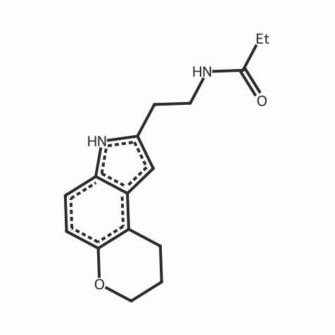 CCC(=O)NCCc1cc2c3c(ccc2[nH]1)OCCC3